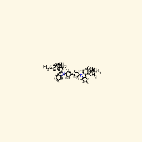 CCC(C)(C)C1(C)C=c2c(n(-c3ccc(-c4ccc(-n5c6c(c7ccccc75)CC(C)(C(C)(C)CC)C=C6)cc4)cc3)c3ccccc23)=CC1